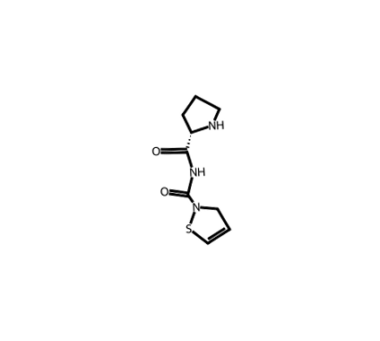 O=C(NC(=O)N1CC=CS1)[C@@H]1CCCN1